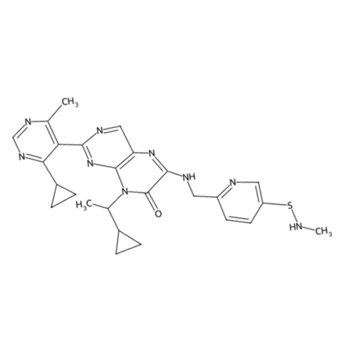 CNSc1ccc(CNc2nc3cnc(-c4c(C)ncnc4C4CC4)nc3n(C(C)C3CC3)c2=O)nc1